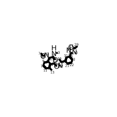 CNC(=O)/C(=N/OC)c1cccc(C)c1CO/N=C(\C)c1cccc(-c2noc(C)n2)c1